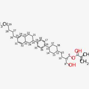 C=C(C)C(O)OCC(CO)CCC1CCC(c2ccc(C3CCC4C=C(CCCCC)C=CC4C3)cc2)CC1